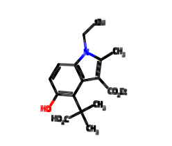 CCOC(=O)c1c(C)n(CC(C)(C)C)c2ccc(O)c(C(C)(C)C(=O)O)c12